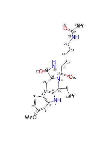 COc1ccc2c3c([nH]c2c1)C(CC(C)C)N1C(=O)C(CCCCNC(=O)C(C)C)NC(=O)C1C3